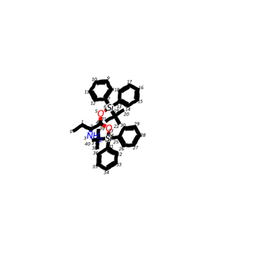 CCC(N)C(O[Si](c1ccccc1)(c1ccccc1)C(C)(C)C)O[Si](c1ccccc1)(c1ccccc1)C(C)(C)C